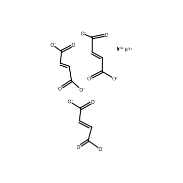 O=C([O-])C=CC(=O)[O-].O=C([O-])C=CC(=O)[O-].O=C([O-])C=CC(=O)[O-].[Ir+3].[Ir+3]